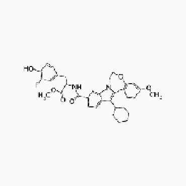 COC(=O)C(Cc1ccc(O)c(F)c1)NC(=O)c1ccc2c(C3CCCCC3)c3n(c2c1)CCOc1cc(OC)ccc1-3